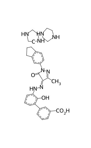 C1CNCCN1.C1CNCCN1.CC1=NN(c2ccc3c(c2)CCC3)C(=O)/C1=N\Nc1cccc(-c2cccc(C(=O)O)c2)c1O